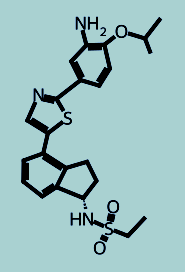 CCS(=O)(=O)N[C@H]1CCc2c(-c3cnc(-c4ccc(OC(C)C)c(N)c4)s3)cccc21